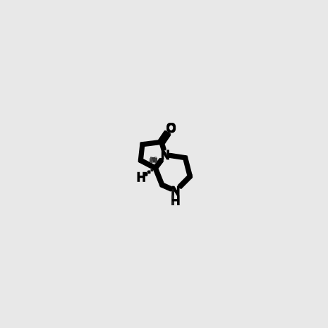 O=C1CC[C@@H]2CNCCN12